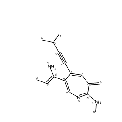 C=C1C=C(C#CC(C)C)C(C(N)=CC)=CN=C1NC